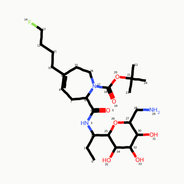 CCC(NC(=O)C1CC=C(CCCCF)CCN1C(=O)OC(C)(C)C)C1OC(CN)C(O)C(O)C1O